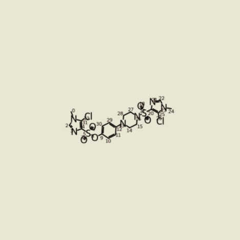 Cn1cnc(S(=O)(=O)Oc2ccc(N3CCN(S(=O)(=O)c4ncn(C)c4Cl)CC3)cc2)c1Cl